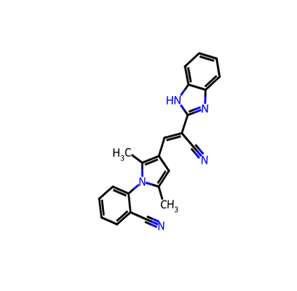 Cc1cc(/C=C(\C#N)c2nc3ccccc3[nH]2)c(C)n1-c1ccccc1C#N